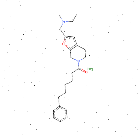 CCN(C)Cc1cc2c(o1)CN(C(=O)CCCCCc1ccccc1)CC2.Cl